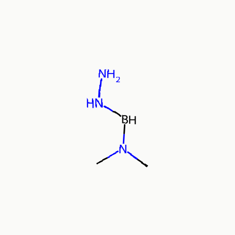 CN(C)BNN